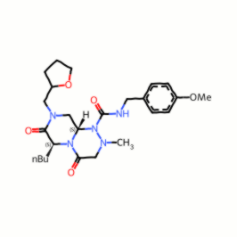 CCCC[C@H]1C(=O)N(CC2CCCO2)C[C@H]2N1C(=O)CN(C)N2C(=O)NCc1ccc(OC)cc1